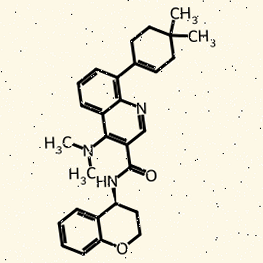 CN(C)c1c(C(=O)N[C@H]2CCOc3ccccc32)cnc2c(C3=CCC(C)(C)CC3)cccc12